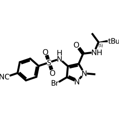 C[C@H](NC(=O)c1c(NS(=O)(=O)c2ccc(C#N)cc2)c(Br)nn1C)C(C)(C)C